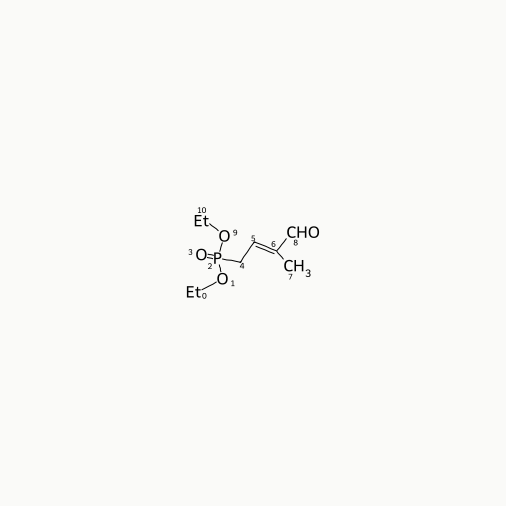 CCOP(=O)(C/C=C(\C)C=O)OCC